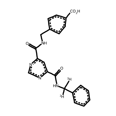 [2H]C([2H])(NC(=O)c1cc(C(=O)NCc2ccc(C(=O)O)cc2)ncn1)c1ccccc1